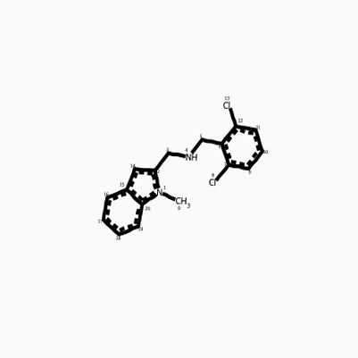 Cn1c(CNCc2c(Cl)cccc2Cl)cc2ccccc21